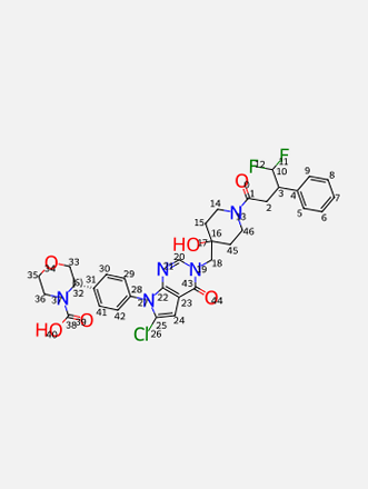 O=C(CC(c1ccccc1)C(F)F)N1CCC(O)(Cn2cnc3c(cc(Cl)n3-c3ccc([C@H]4COCCN4C(=O)O)cc3)c2=O)CC1